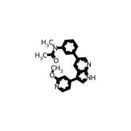 COc1cc(-c2c[nH]c3ncc(-c4cccc(N(C)C(C)=O)c4)cc23)ccn1